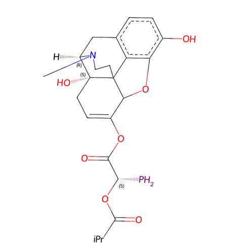 CC(C)C(=O)O[C@@H](P)C(=O)OC1=CC[C@@]2(O)[C@H]3Cc4ccc(O)c5c4C2(CCN3C)C1O5